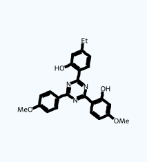 CCc1ccc(-c2nc(-c3ccc(OC)cc3)nc(-c3ccc(OC)cc3O)n2)c(O)c1